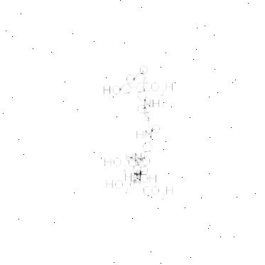 O=C1C=CC2C(=C1)Oc1cc(O)ccc1C2c1ccc(NC(=O)CSCCC(=O)NCc2ccc(C(=O)N[C@@H](COP(=O)(O)N[C@@H](CCC(=O)O)C(=O)O)C(=O)O)cc2)cc1C(=O)O